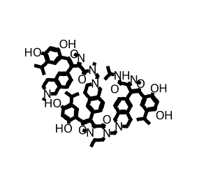 CCCN(CN1CCc2cc(-c3c(C(=O)NC(C)C)noc3-c3cc(C(C)C)c(O)cc3O)ccc2C1)C(=O)c1noc(-c2cc(C(C)C)c(O)cc2O)c1-c1ccc2c(c1)CCN(CN(C)C(=O)c1noc(-c3cc(C(C)C)c(O)cc3O)c1-c1ccc3c(c1)CCN(C)C3)C2